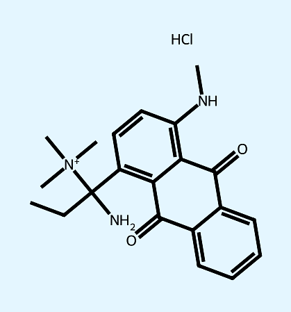 CCC(N)(c1ccc(NC)c2c1C(=O)c1ccccc1C2=O)[N+](C)(C)C.Cl